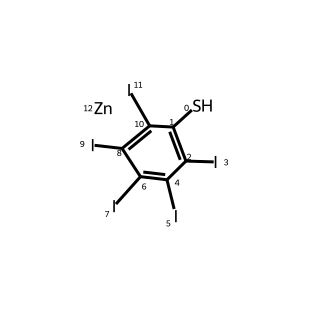 Sc1c(I)c(I)c(I)c(I)c1I.[Zn]